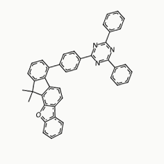 CC1(C)c2cccc(-c3ccc(-c4nc(-c5ccccc5)nc(-c5ccccc5)n4)cc3)c2-c2ccc3c(oc4ccccc43)c21